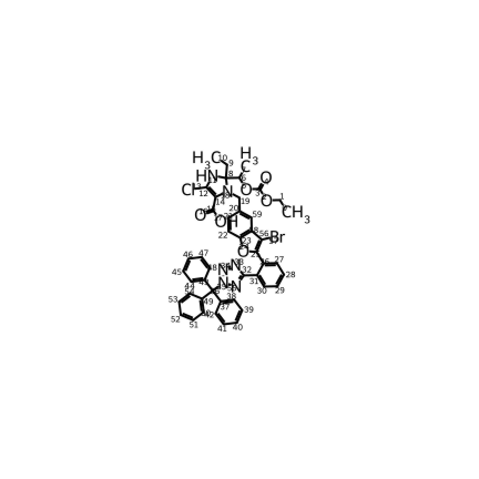 CCOC(=O)OC(C)C1(CC)NC(Cl)=C(C(=O)O)N1Cc1ccc2oc(-c3ccccc3-c3nnn(C(c4ccccc4)(c4ccccc4)c4ccccc4)n3)c(Br)c2c1